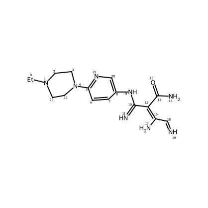 CCN1CCN(c2ccc(NC(=N)/C(C(N)=O)=C(\N)C=N)cn2)CC1